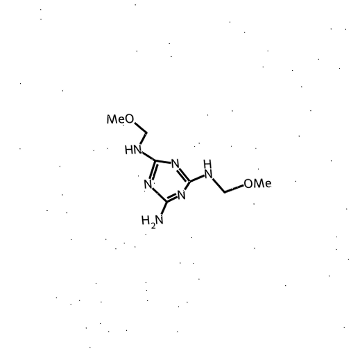 COCNc1nc(N)nc(NCOC)n1